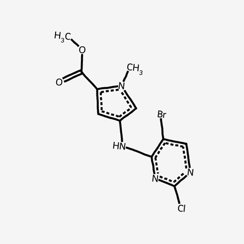 COC(=O)c1cc(Nc2nc(Cl)ncc2Br)cn1C